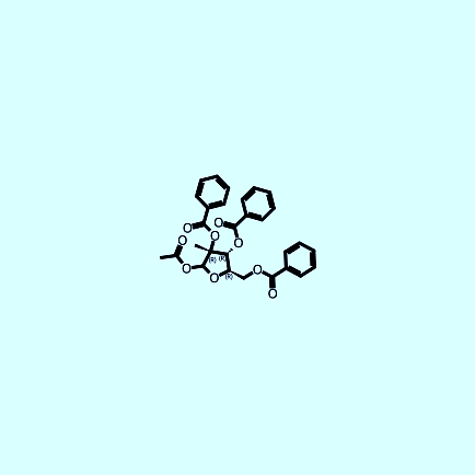 CC(=O)OC1O[C@H](COC(=O)c2ccccc2)[C@@H](OC(=O)c2ccccc2)[C@@]1(C)OC(=O)c1ccccc1